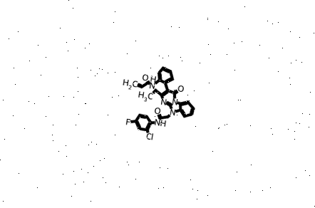 C=CC(=O)Nc1ccccc1-c1c(CC)nc2n(CC(=O)Nc3ccc(F)cc3Cl)c3ccccc3n2c1=O